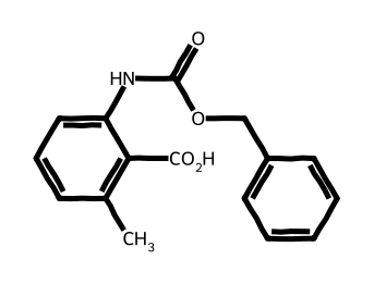 Cc1cccc(NC(=O)OCc2ccccc2)c1C(=O)O